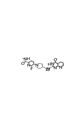 CNC(=O)c1ccc(N2CCC(N3CC4(c5nc6ncccc6c(=O)[nH]5)CC3C4)CC2)c(F)n1